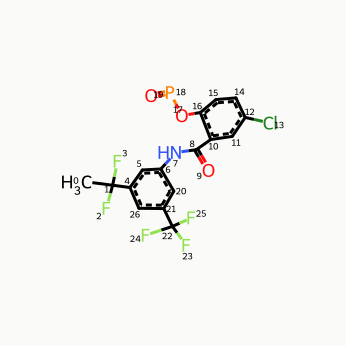 CC(F)(F)c1cc(NC(=O)c2cc(Cl)ccc2OP=O)cc(C(F)(F)F)c1